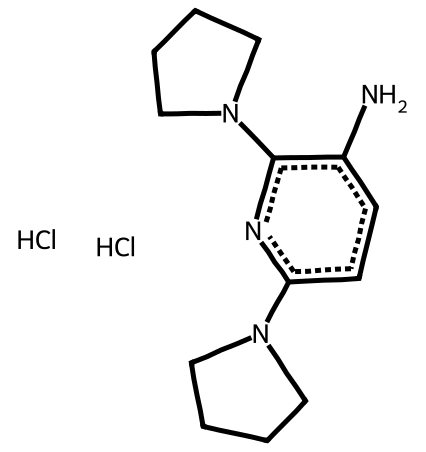 Cl.Cl.Nc1ccc(N2CCCC2)nc1N1CCCC1